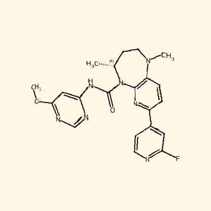 COc1cc(NC(=O)N2c3nc(-c4ccnc(F)c4)ccc3N(C)CC[C@H]2C)ncn1